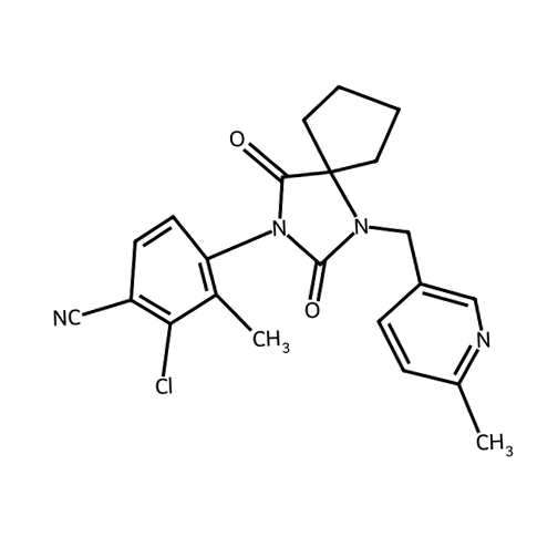 Cc1ccc(CN2C(=O)N(c3ccc(C#N)c(Cl)c3C)C(=O)C23CCCC3)cn1